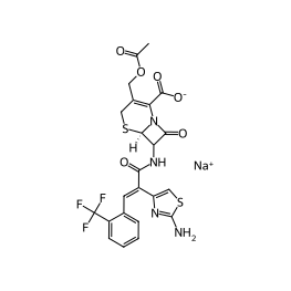 CC(=O)OCC1=C(C(=O)[O-])N2C(=O)C(NC(=O)/C(=C/c3ccccc3C(F)(F)F)c3csc(N)n3)[C@H]2SC1.[Na+]